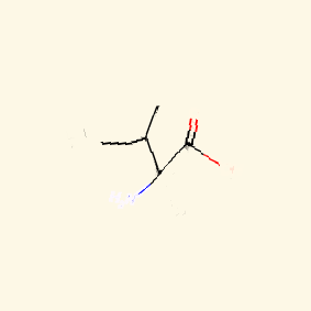 CC(C)[C@](C)(N)C(=O)O.[LiH]